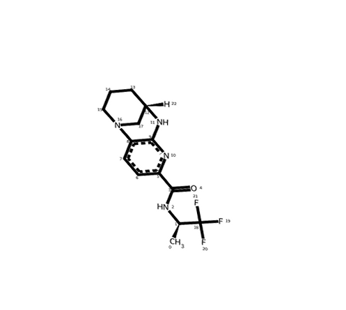 C[C@@H](NC(=O)c1ccc2c(n1)N[C@H]1CCCN2C1)C(F)(F)F